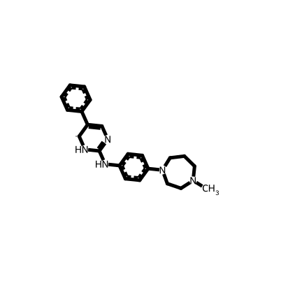 CN1CCCN(c2ccc(NC3=NC=C(c4ccccc4)[CH]N3)cc2)CC1